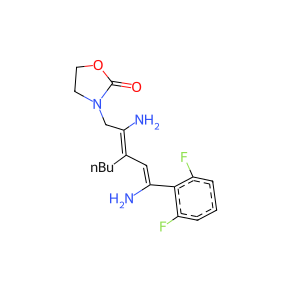 CCCCC(/C=C(\N)c1c(F)cccc1F)=C(/N)CN1CCOC1=O